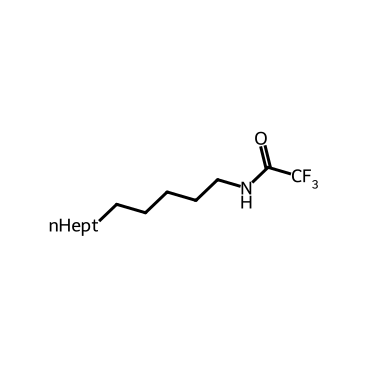 CCCCCCCCCCCCNC(=O)C(F)(F)F